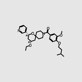 CCO[C@@H]1C[C@H](c2cccnc2)OC2(CCN(C(=O)c3ccc(OCCC(C)C)c(OC)c3)CC2)C1